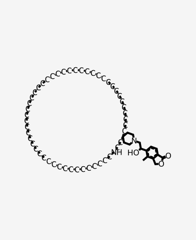 Cc1c(C(O)CN2CCC3(CCCCCCCCCCCCCCCCCCCCCCCCCCCCCCCCCCCCCCCCCCCCCCCCNCC3)CC2)ccc2c1COC2=O